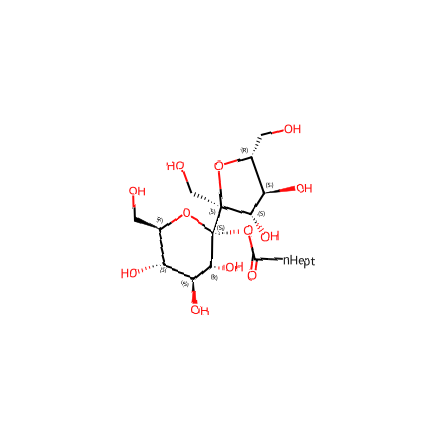 CCCCCCCC(=O)O[C@@]1([C@@]2(CO)O[C@H](CO)[C@@H](O)[C@@H]2O)O[C@H](CO)[C@@H](O)[C@H](O)[C@H]1O